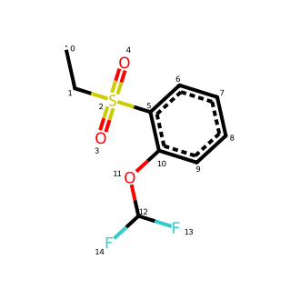 [CH2]CS(=O)(=O)c1ccccc1OC(F)F